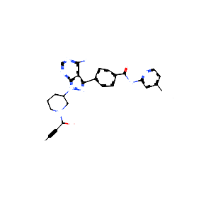 CC#CC(O)N1CCCC(n2nc(-c3ccc(C(=O)Nc4cc(C(F)(F)F)ccn4)cc3)c3c(N)ncnc32)C1